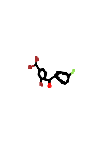 O=C(c1ccc(F)cc1)c1ccc(C(Br)Br)cc1Br